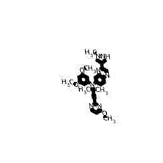 COc1cc(OC)cc(N(c2ccc3ncc(C4=CN(C)NC4)nc3c2)C(C)(C)C#Cc2nccc(OC)n2)c1